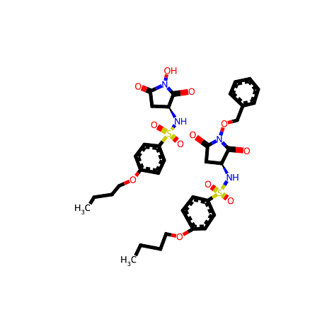 CCCCOc1ccc(S(=O)(=O)N[C@H]2CC(=O)N(O)C2=O)cc1.CCCCOc1ccc(S(=O)(=O)N[C@H]2CC(=O)N(OCc3ccccc3)C2=O)cc1